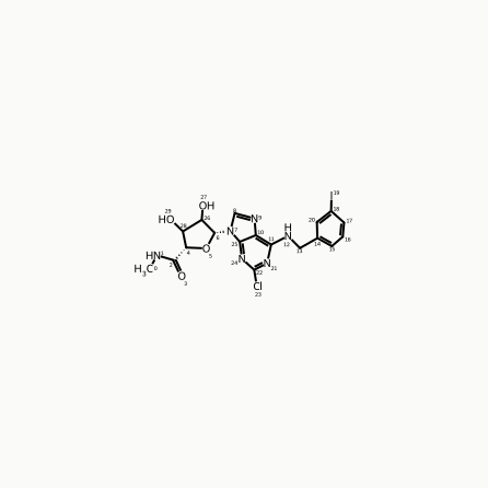 CNC(=O)[C@H]1O[C@@H](n2cnc3c(NCc4cccc(I)c4)nc(Cl)nc32)C(O)C1O